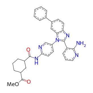 COC(=O)C1CCCC(C(=O)Nc2ccc(-n3c(-c4cccnc4N)nc4ccc(-c5ccccc5)cc43)cn2)C1